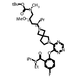 CCN(C(=O)c1cc(F)ccc1Oc1nncnc1N1CCC2(C1)CN([C@@H](C[C@@H](CN(C)C(=O)OC(C)(C)C)OC)C(C)C)C2)C(C)C